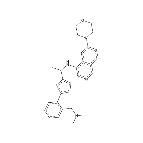 CC(Nc1nncc2ccc(N3CCOCC3)cc12)c1ccc(-c2ccccc2CN(C)C)s1